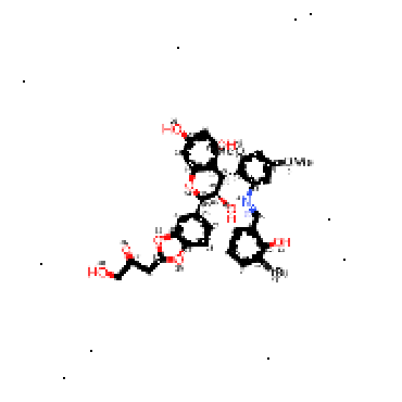 COc1cc(/N=C/c2cccc(C(C)(C)C)c2O)c([C@H]2c3c(O)cc(O)cc3O[C@H](c3ccc4c(c3)OC(CC(=O)CO)O4)[C@@H]2O)c(OC)c1